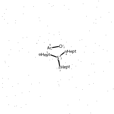 CC(=O)[O-].CCCCCCC[S+](CCCCCCC)CCCCCCC